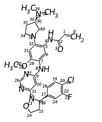 C=CC(=O)Nc1cc(Nc2cc(N3OCC[C@@H]3c3ccc(Cl)c(F)c3)ncn2)c(OC)cc1N1CC[C@@H](N(C)C)C1